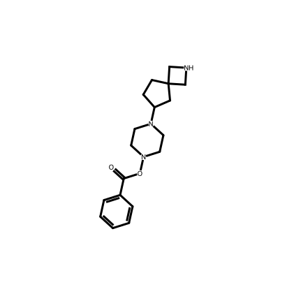 O=C(ON1CCN(C2CCC3(CNC3)C2)CC1)c1ccccc1